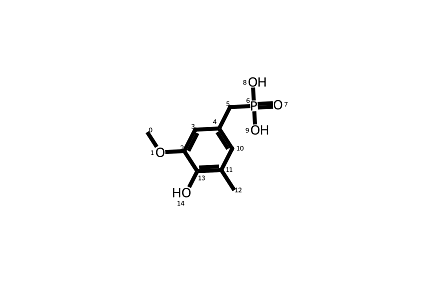 COc1cc(CP(=O)(O)O)cc(C)c1O